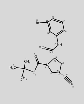 CC(C)(C)OC(=O)N1C[C@@H](C#N)C[C@H]1C(=O)Nc1cccc(Br)n1